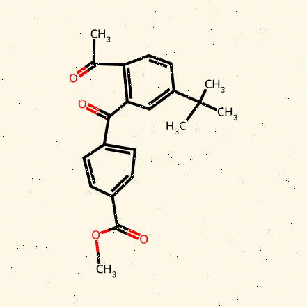 COC(=O)c1ccc(C(=O)c2cc(C(C)(C)C)ccc2C(C)=O)cc1